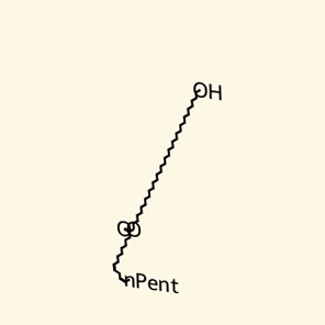 CCCCC/C=C\C/C=C\CCCCCCCC(=O)OCCCCCCCCCCCCCCCCCCCCCCCCCCCCCCCCCO